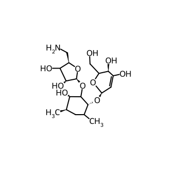 CC1C[C@@H](C)[C@@H](O)C(O[C@@H]2O[C@H](CN)C(O)[C@@H]2O)[C@@H]1O[C@@H]1C=C(O)[C@H](O)C(CO)O1